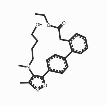 CCOC(=O)Cc1ccccc1-c1ccc(-c2onc(C)c2N(C)CCCCO)cc1